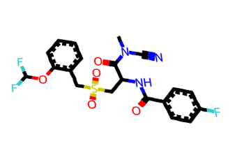 CN(C#N)C(=O)C(CS(=O)(=O)Cc1ccccc1OC(F)F)NC(=O)c1ccc(F)cc1